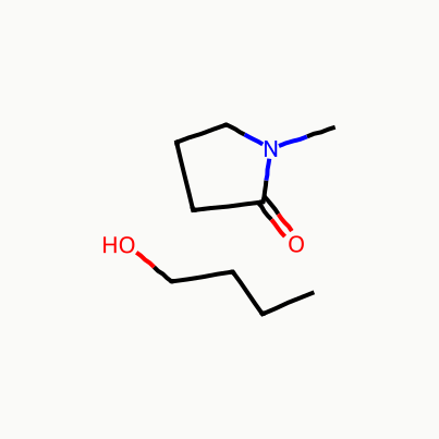 CCCCO.CN1CCCC1=O